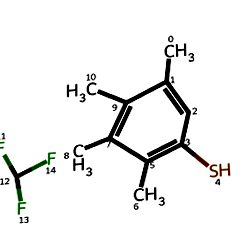 Cc1cc(S)c(C)c(C)c1C.FC(F)F